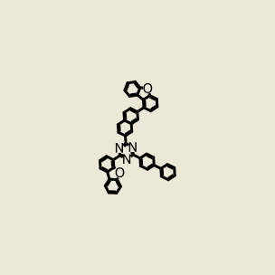 c1ccc(-c2ccc(-c3nc(-c4ccc5ccc(-c6cccc7oc8ccccc8c67)cc5c4)nc(-c4cccc5c4oc4ccccc45)n3)cc2)cc1